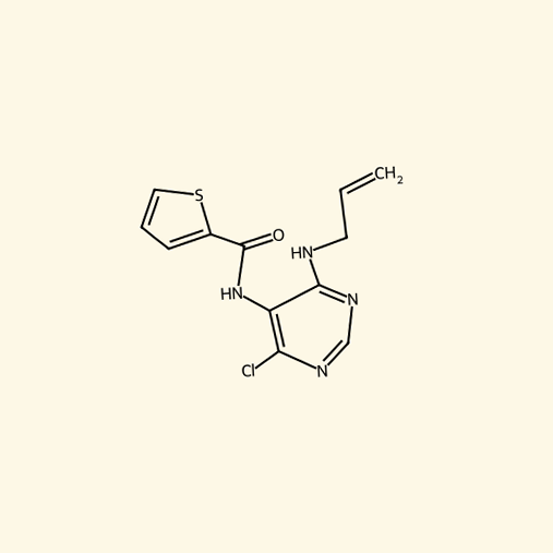 C=CCNc1ncnc(Cl)c1NC(=O)c1cccs1